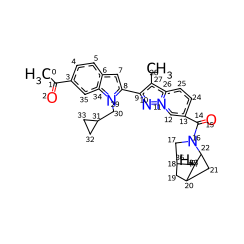 CC(=O)c1ccc2cc(-c3nn4cc(C(=O)N5CC6CC7CC5[C@H]76)ccc4c3C)n(CC3CC3)c2c1